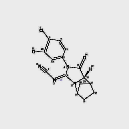 N#C/N=C1\N(c2ccc(Cl)c(Cl)c2)C(=O)[C@@H]2C3CCC(C3)N12